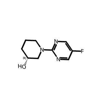 O[C@@H]1CCCN(c2ncc(F)cn2)C1